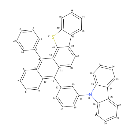 c1ccc(-c2c3ccccc3c(-c3cccc(-n4c5ccccc5c5ccccc54)c3)c3ccc4c5ccccc5sc4c23)cc1